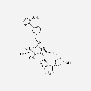 Cc1ccc(-c2c(C)nn3c(NCc4cccc(-c5nccn5C)c4)cc(C(C)(C)O)nc23)cc1C(=O)N1CC[C@H](O)C1